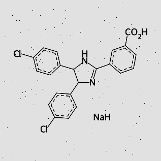 O=C(O)c1cccc(C2=NC(c3ccc(Cl)cc3)C(c3ccc(Cl)cc3)N2)c1.[NaH]